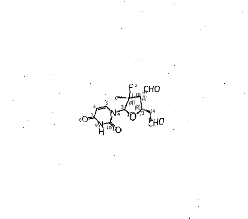 C[C@]1(F)C(n2ccc(=O)[nH]c2=O)O[C@H](CC=O)[C@H]1C=O